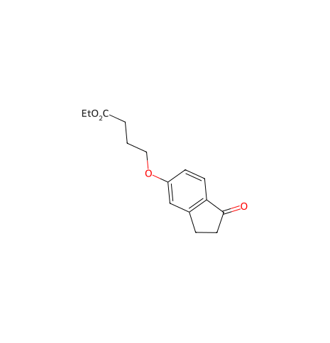 CCOC(=O)CCCOc1ccc2c(c1)CCC2=O